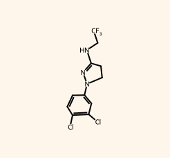 FC(F)(F)CNC1=NN(c2ccc(Cl)c(Cl)c2)CC1